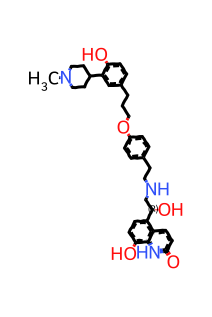 CN1CCC(c2cc(CCCOc3ccc(CCNC[C@H](O)c4ccc(O)c5[nH]c(=O)ccc45)cc3)ccc2O)CC1